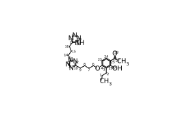 CCCc1c(OCCCCc2nnn(CCCc3nnn[nH]3)n2)ccc(C(C)=O)c1O